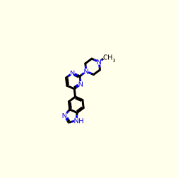 CN1CCN(c2nccc(-c3ccc4[nH]cnc4c3)n2)CC1